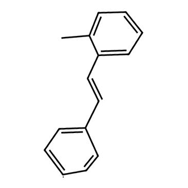 Cc1ccccc1C=Cc1cc[c]cc1